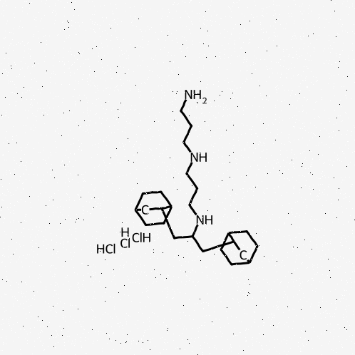 Cl.Cl.Cl.NCCCNCCCNC(CC1CC2CCC1CC2)CC1CC2CCC1CC2